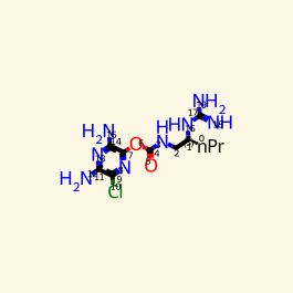 CCC[C@@H](CNC(=O)Oc1nc(Cl)c(N)nc1N)NC(=N)N